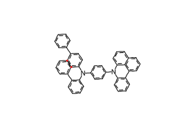 c1ccc(-c2ccc(N(c3ccc(N4c5ccccc5-c5cccc6cccc4c56)cc3)c3ccccc3-c3ccccc3)cc2)cc1